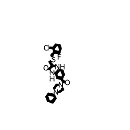 O=C1Nc2cc(C(=O)N3CCN(c4ccccc4)CC3)ccc2NC1CSCc1c(F)cccc1Cl